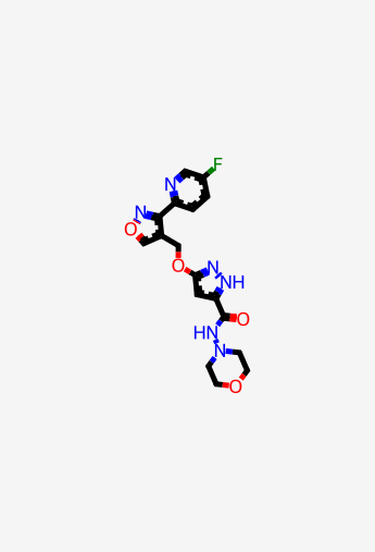 O=C(NN1CCOCC1)c1cc(OCc2conc2-c2ccc(F)cn2)n[nH]1